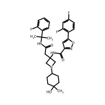 CC1(O)CCC(N2CC(CC(=O)NC(C)(C)c3ccccc3F)(NC(=O)c3cc(-c4ccc(F)cc4F)on3)C2)CC1